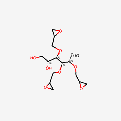 O=C[C@H](OCC1CO1)[C@@H](OCC1CO1)[C@H](OCC1CO1)[C@H](O)CO